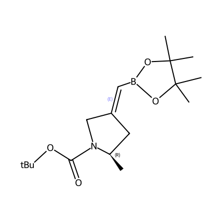 C[C@@H]1C/C(=C\B2OC(C)(C)C(C)(C)O2)CN1C(=O)OC(C)(C)C